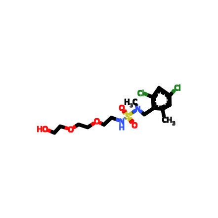 Cc1cc(Cl)cc(Cl)c1CN(C)S(=O)(=O)NCCOCCOCCO